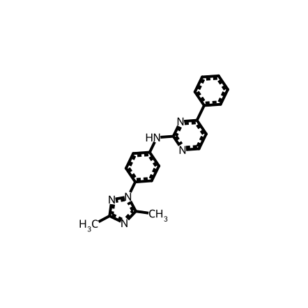 Cc1nc(C)n(-c2ccc(Nc3nccc(-c4ccccc4)n3)cc2)n1